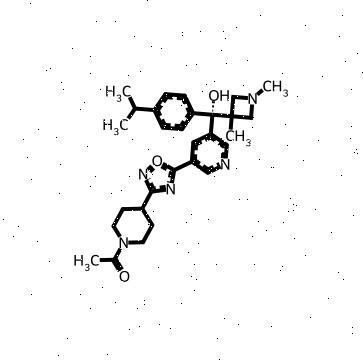 CC(=O)N1CCC(c2noc(-c3cncc([C@@](O)(c4ccc(C(C)C)cc4)C4(C)CN(C)C4)c3)n2)CC1